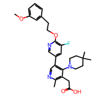 COc1cccc(CCOc2ncc(-c3cnc(C)c(CC(=O)O)c3N3CCC(C)(C)CC3)cc2F)c1